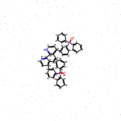 O=P(c1ccccc1)(c1ccccc1)c1cccc(-c2ccnc3c2ccc2c(-c4cccc(P(=O)(c5ccccc5)c5ccccc5)c4)ccnc23)c1